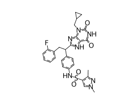 Cc1nn(C)cc1S(=O)(=O)Nc1ccc(C(Cc2ccccc2F)c2nc3c([nH]2)c(=O)[nH]c(=O)n3CC2CC2)cc1